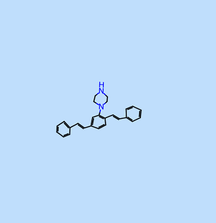 C(=Cc1ccc(C=Cc2ccccc2)c(N2CCNCC2)c1)c1ccccc1